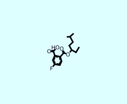 CCC(CCC(C)C)OC(=O)c1ccc(F)cc1C(=O)O